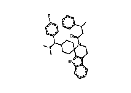 CC(CC(=O)N1CCc2c([nH]c3ccccc23)C12CCC(C(c1ccc(F)cc1)N(C)C)CC2)c1ccccc1